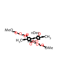 CC#Cc1cc(OCCCCCCCCCC)c(C#Cc2cc(C(=O)OCCOCCOCCOC)c(C#CC)cc2C(=O)OCCOCCOCCOC)cc1OCCCCCCCCCC